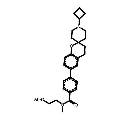 COCCN(C)C(=O)c1ccc(-c2ccc3c(c2)CCC2(CCN(C4CCC4)CC2)O3)cc1